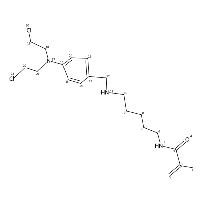 C=C(C)C(=O)NCCCCCNCc1ccc(N(CCCl)CCCl)cc1